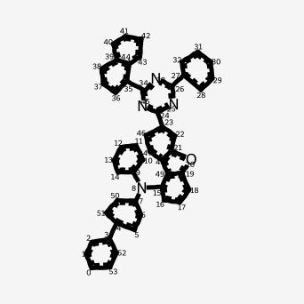 c1ccc(-c2ccc(N(c3ccccc3)c3cccc4oc5cc(-c6nc(-c7ccccc7)nc(-c7cccc8ccccc78)n6)ccc5c34)cc2)cc1